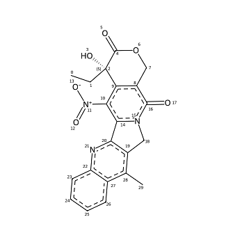 CC[C@@]1(O)C(=O)OCc2c1c([N+](=O)[O-])c1n(c2=O)Cc2c-1nc1ccccc1c2C